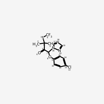 CC(C)(SC(F)(F)F)C(=O)C(Oc1ccc(Cl)cc1)n1cncn1